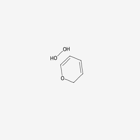 C1=CCOC=C1.OO